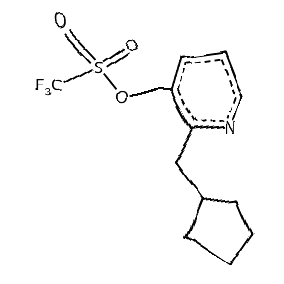 O=S(=O)(Oc1cccnc1CC1CCCC1)C(F)(F)F